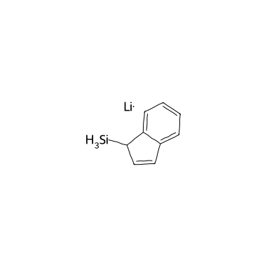 [Li].[SiH3]C1C=Cc2ccccc21